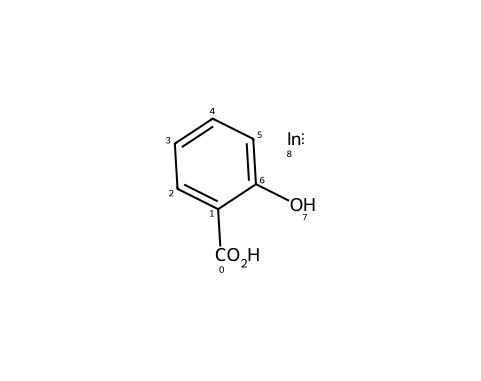 O=C(O)c1ccccc1O.[In]